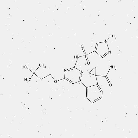 Cn1cc(S(=O)(=O)Nc2nc(OCCC(C)(C)O)cc(-c3ccccc3C3(C(N)=O)CC3)n2)cn1